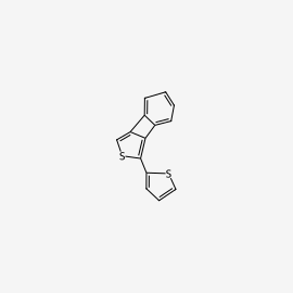 c1csc(-c2scc3c2-c2ccccc2-3)c1